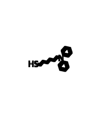 SCCCCCCN(c1ccccc1)c1ccccc1